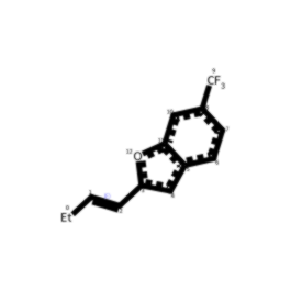 CC/C=C/c1cc2ccc(C(F)(F)F)cc2o1